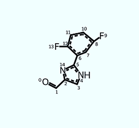 O=Cc1c[nH]c(-c2cc(F)ccc2F)n1